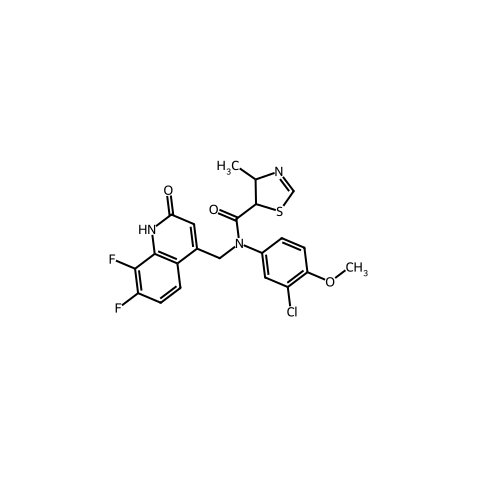 COc1ccc(N(Cc2cc(=O)[nH]c3c(F)c(F)ccc23)C(=O)C2SC=NC2C)cc1Cl